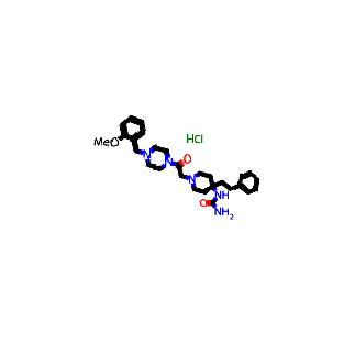 COc1ccccc1CN1CCN(C(=O)CN2CCC(CCc3ccccc3)(NC(N)=O)CC2)CC1.Cl